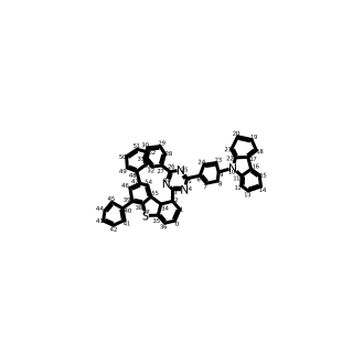 C1=CC(c2nc(C3=CCC(n4c5ccccc5c5ccccc54)C=C3)nc(-c3ccccc3)n2)C2C(=C1)Sc1c(-c3ccccc3)cc(-c3ccccc3)cc12